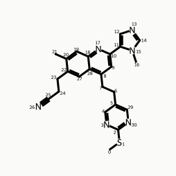 CSc1ncc(CCc2cc(-c3cncn3C)nc3cc(C)c(CCC#N)cc23)cn1